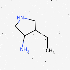 CCC1CNCC1N